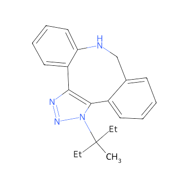 CCC(C)(CC)n1nnc2c1-c1ccccc1CNc1ccccc1-2